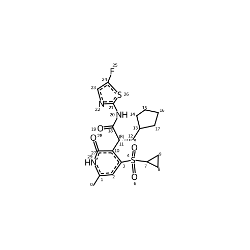 Cc1cc(S(=O)(=O)C2CC2)c([C@@H](CC2CCCC2)C(=O)Nc2ncc(F)s2)c(=O)[nH]1